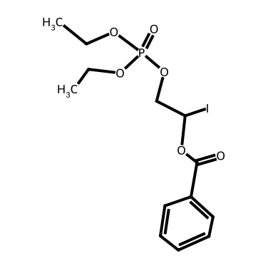 CCOP(=O)(OCC)OCC(I)OC(=O)c1ccccc1